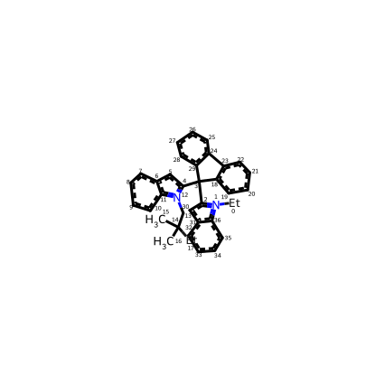 CCn1c(C2(c3cc4ccccc4n3CC(C)(C)CC)c3ccccc3-c3ccccc32)cc2ccccc21